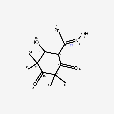 CC(C)/C(=N\O)C1C(=O)C(C)(C)C(=O)C(C)(C)C1O